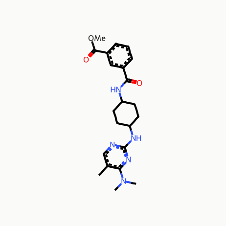 COC(=O)c1cccc(C(=O)NC2CCC(Nc3ncc(C)c(N(C)C)n3)CC2)c1